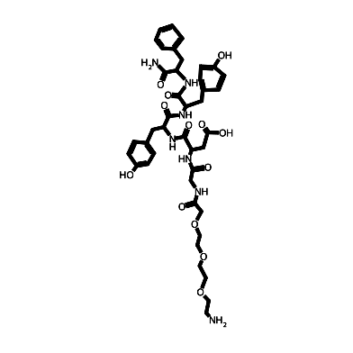 NCCOCCOCCOCC(=O)NCC(=O)NC(CC(=O)O)C(=O)NC(Cc1ccc(O)cc1)C(=O)NC(Cc1ccc(O)cc1)C(=O)NC(Cc1ccccc1)C(N)=O